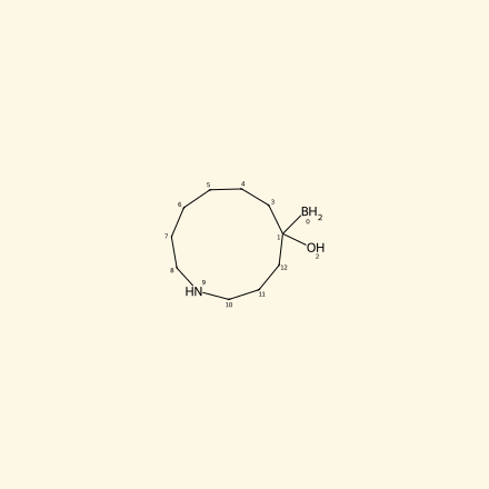 BC1(O)CCCCCCNCCC1